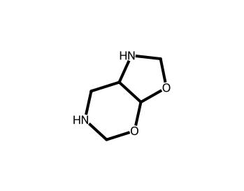 C1NCC2NCOC2O1